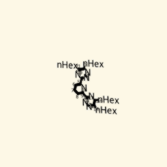 CCCCCCc1nnc(-c2cccc(-c3nnc(CCCCCC)c(CCCCCC)n3)n2)nc1CCCCCC